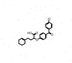 O=C(c1ccc(Cl)cc1)c1ccc(OC(CCC2=CCCCC2)C(=O)O)cc1